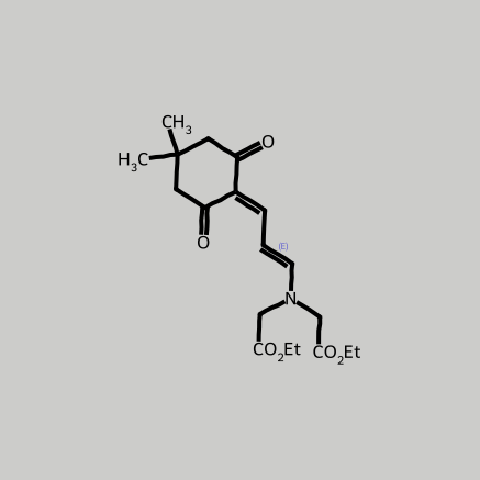 CCOC(=O)CN(/C=C/C=C1C(=O)CC(C)(C)CC1=O)CC(=O)OCC